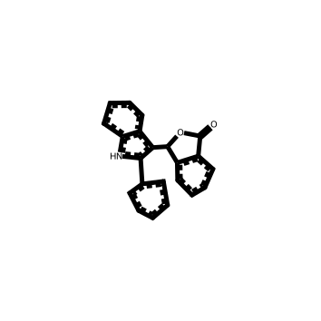 O=C1OC(c2c(-c3ccccc3)[nH]c3ccccc23)c2ccccc21